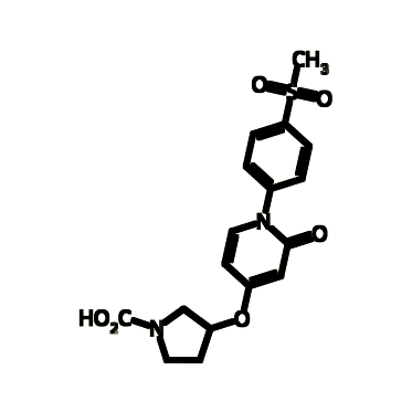 CS(=O)(=O)c1ccc(-n2ccc(OC3CCN(C(=O)O)C3)cc2=O)cc1